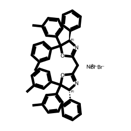 Cc1cccc(C2(c3cccc(C)c3)OC(CC3=N[C@H](c4ccccc4)C(c4cccc(C)c4)(c4cccc(C)c4)O3)=N[C@@H]2c2ccccc2)c1.[Br-].[Br-].[Ni+2]